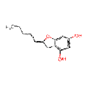 CCCCCC1Cc2c(O)cc(O)cc2O1